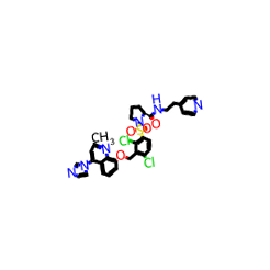 Cc1cc(-n2ccnc2)c2cccc(OCc3c(Cl)ccc(S(=O)(=O)N4CCC[C@H]4C(=O)NCCc4ccncc4)c3Cl)c2n1